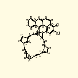 Clc1cc(-c2cc3cc4nc(cc5ccc(cc6nc(cc2[nH]3)C=C6)[nH]5)C=C4)c2c(ccc3cc4ccccc4cc32)c1Cl